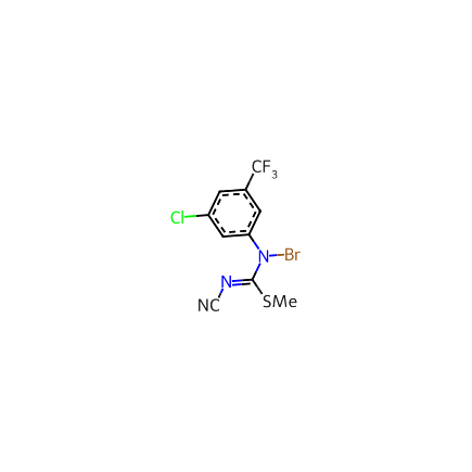 CSC(=NC#N)N(Br)c1cc(Cl)cc(C(F)(F)F)c1